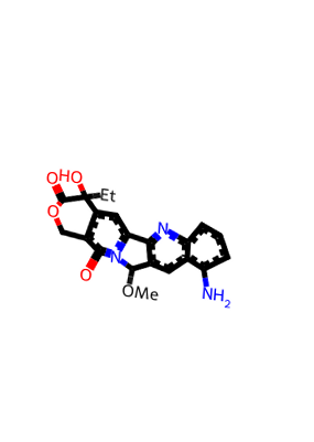 CCC1(O)C(=O)OCc2c1cc1n(c2=O)C(OC)c2cc3c(N)cccc3nc2-1